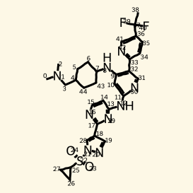 CN(C)CC1CCC(Nc2cc(Nc3ccnc(-c4cnn(S(=O)(=O)C5CC5)c4)n3)ncc2-c2ccc(C(C)(F)F)cn2)CC1